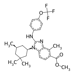 COC(=O)c1ccc2c(nc(Nc3ccc(OC(F)(F)F)cc3)n2[C@@H]2C[C@H](C)CC(C)(C)C2)c1C